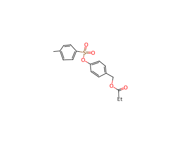 CCC(=O)OCc1ccc(OS(=O)(=O)c2ccc(C)cc2)cc1